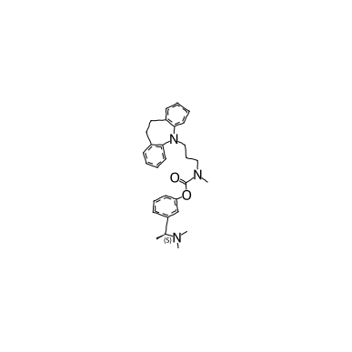 C[C@@H](c1cccc(OC(=O)N(C)CCCN2c3ccccc3CCc3ccccc32)c1)N(C)C